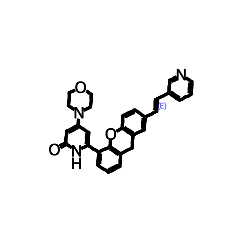 O=c1cc(N2CCOCC2)cc(-c2cccc3c2Oc2ccc(/C=C/c4cccnc4)cc2C3)[nH]1